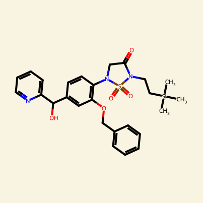 C[Si](C)(C)CCN1C(=O)CN(c2ccc(C(O)c3ccccn3)cc2OCc2ccccc2)S1(=O)=O